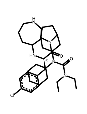 CCN(CC)C(=O)N(C1CCCCC1)C1CC2CCC(C1)N2C(=O)[C@@H](Cc1ccc(Cl)cc1)NC1CCCNCC1